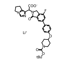 CC(C)(C)OC(=O)N1CCC(Oc2ccc(-c3cc(F)c4c(c3)C(=O)N(C(C(=O)[O-])c3ncn5c3CCC5)C4)cc2)CC1.[Li+]